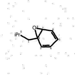 CC(C)CC12C=CC=CC1O2